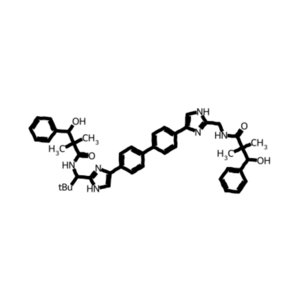 CC(C)(C)C(NC(=O)C(C)(C)C(O)c1ccccc1)c1nc(-c2ccc(-c3ccc(-c4c[nH]c(CNC(=O)C(C)(C)C(O)c5ccccc5)n4)cc3)cc2)c[nH]1